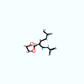 CC(C)CCC(CCC(C)C)C1OCCO1